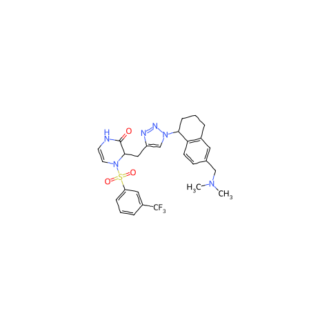 CN(C)Cc1ccc2c(c1)CCCC2n1cc(CC2C(=O)NC=CN2S(=O)(=O)c2cccc(C(F)(F)F)c2)nn1